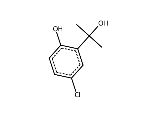 CC(C)(O)c1cc(Cl)ccc1O